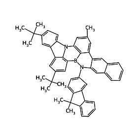 Cc1cc2c3c(c1)-n1c4ccc(C(C)(C)C)cc4c4cc(C(C)(C)C)cc(c41)B3N(c1ccc3c(c1)-c1ccccc1C3(C)C)c1cc3ccccc3cc1-2